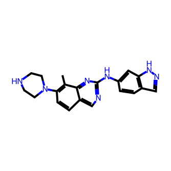 Cc1c(N2CCNCC2)ccc2cnc(Nc3ccc4cn[nH]c4c3)nc12